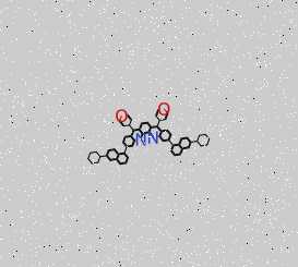 C1=CC(c2c3ccc(-c4cccc5cc(C6CCCCC6)ccc45)cc3nc3c2ccc2c(C4C=COC=C4)c4ccc(-c5cccc6cc(C7CCCCC7)ccc56)cc4nc23)C=CO1